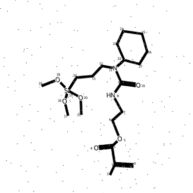 C=C(C)C(=O)OCCNC(=O)N(CCC[Si](OC)(OC)OC)C1CCCCC1